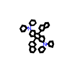 C1=CCCC(N(c2ccccc2)c2ccc3c(C4=Cc5ccccc5CC4)c4cc(N(c5ccccc5)c5ccccc5)ccc4c(-c4ccc5ccccc5c4)c3c2)=C1